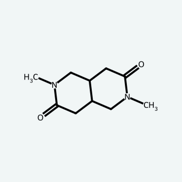 CN1CC2CC(=O)N(C)CC2CC1=O